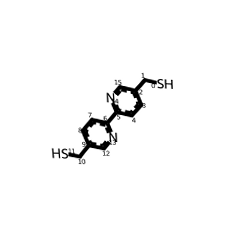 SCc1ccc(-c2ccc(CS)cn2)nc1